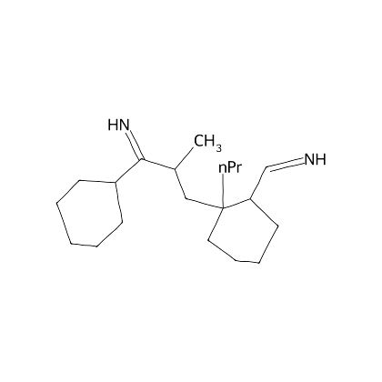 CCCC1(CC(C)C(=N)C2CCCCC2)CCCCC1C=N